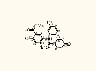 COC(=O)c1cc(NC(=O)N2C=CC(=O)C[C@H]2c2ccc(F)cc2)c(Br)cc1Cl